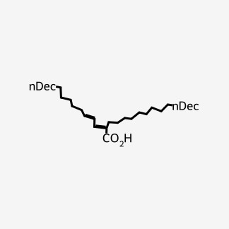 CCCCCCCCCCCCCCCC=CC=C(CCCCCCCCCCCCCCCCCCC)C(=O)O